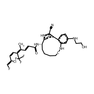 CC(/C=C/C(=O)N[C@H]1CCCCCNc2cc(NCCO)ccc2-c2nc1[nH]c2C#N)=C(\C=C/C(Cl)=C/F)C(F)(F)F